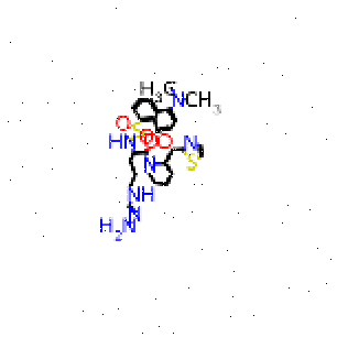 CN(C)c1cccc2c(S(=O)(=O)NC(CCCNC=NN)C(=O)N3CCCCC3C(=O)c3nccs3)cccc12